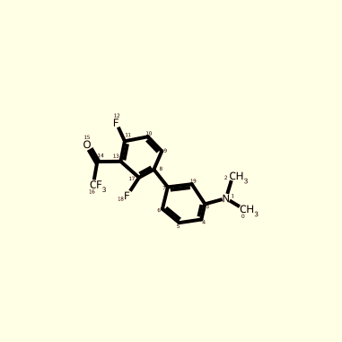 CN(C)c1cccc(-c2ccc(F)c(C(=O)C(F)(F)F)c2F)c1